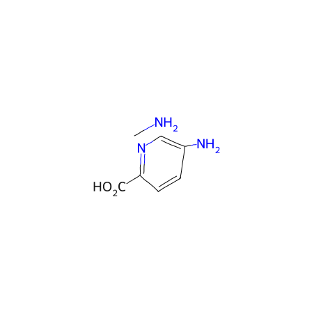 CN.Nc1ccc(C(=O)O)nc1